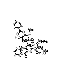 CCCCOC1C(OC(=O)c2ccccc2)C(O)OC(C(=O)OC)[C@H]1O[C@H]1OC(COC(=O)c2ccccc2)[C@@H](OCCCC)[C@H](OCCCC)C1N=[N+]=[N-]